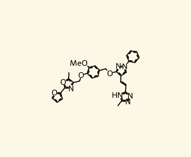 COc1cc(COc2nn(-c3ccccc3)cc2C=Cc2nnc(C)[nH]2)ccc1OCc1nc(-c2ccco2)oc1C